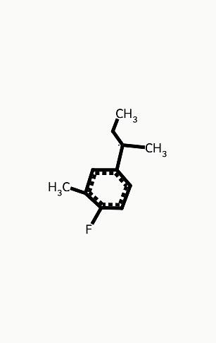 CC[C](C)c1ccc(F)c(C)c1